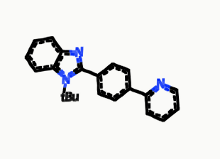 CC(C)(C)n1c(-c2ccc(-c3ccccn3)cc2)nc2ccccc21